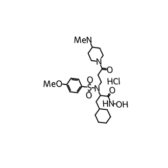 CNC1CCN(C(=O)CCN(C(CC2CCCCC2)C(=O)NO)S(=O)(=O)c2ccc(OC)cc2)CC1.Cl